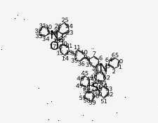 c1ccc(-n2c3ccc(-c4ccc(-c5ccc6oc7c(c6c5)c5ccccc5n7-c5ccccc5)cc4)cc3c3cc([Si](c4ccccc4)(c4ccccc4)c4ccccc4)ccc32)cc1